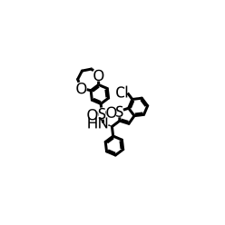 O=S(=O)(N[C@@H](c1ccccc1)c1cc2cccc(Cl)c2s1)c1ccc2c(c1)OCCCO2